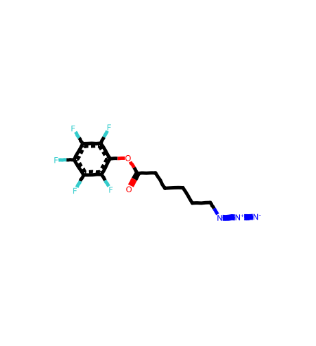 [N-]=[N+]=NCCCCCC(=O)Oc1c(F)c(F)c(F)c(F)c1F